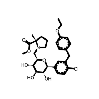 CCOc1ccc(Cc2cc([C@@H]3O[C@H](CN4CCC[C@@]4(C)C(=O)OC)[C@@H](O)[C@H](O)[C@H]3O)ccc2Cl)cc1